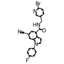 N#Cc1cc(C(=O)NCc2ccc(Br)nc2)c2ccn(-c3ccc(F)cc3)c2c1